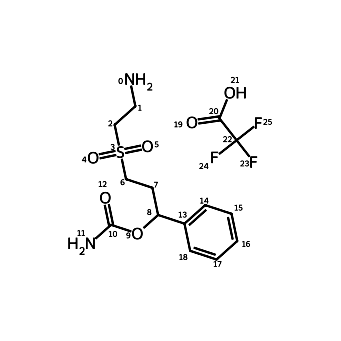 NCCS(=O)(=O)CCC(OC(N)=O)c1ccccc1.O=C(O)C(F)(F)F